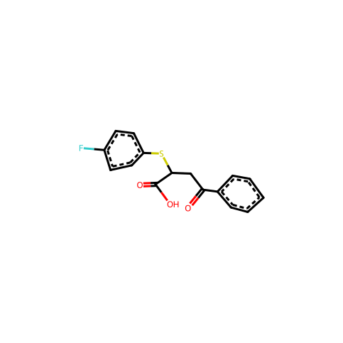 O=C(CC(Sc1ccc(F)cc1)C(=O)O)c1ccccc1